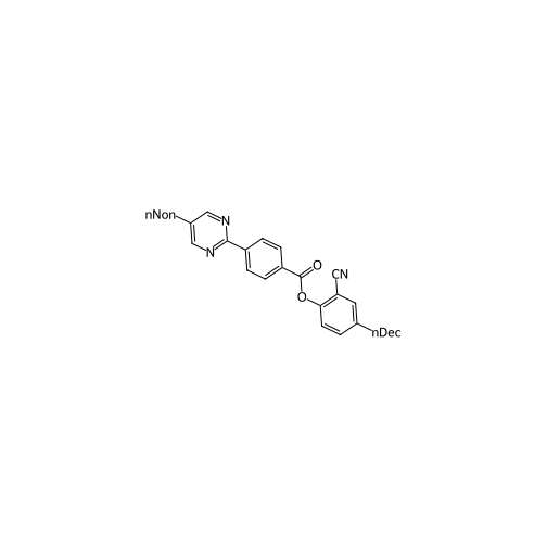 CCCCCCCCCCc1ccc(OC(=O)c2ccc(-c3ncc(CCCCCCCCC)cn3)cc2)c(C#N)c1